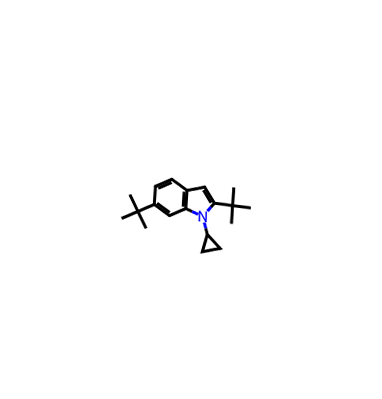 CC(C)(C)c1ccc2cc(C(C)(C)C)n(C3CC3)c2c1